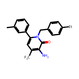 CCc1ccc(Cn2c(-c3cccc(C)c3)cc(C(F)(F)F)c(N)c2=O)cc1